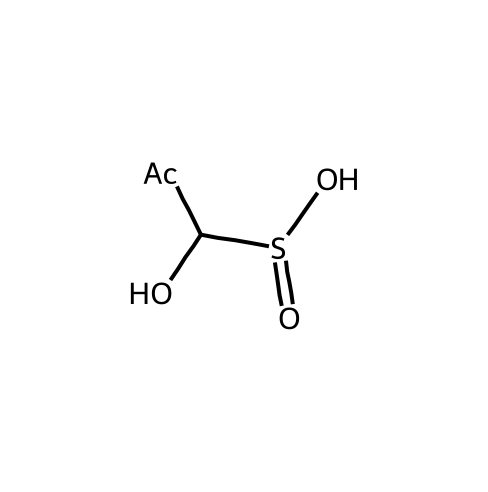 CC(=O)C(O)S(=O)O